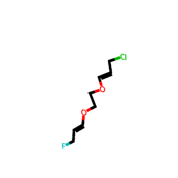 FCC=COC[CH]OC=CCCl